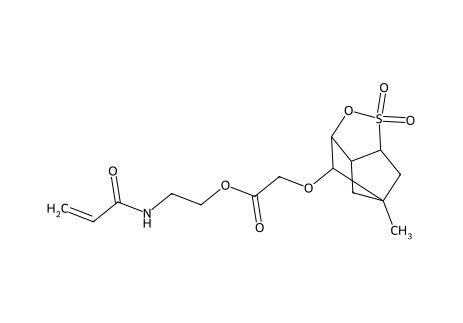 C=CC(=O)NCCOC(=O)COC1C2OS(=O)(=O)C3CC1(C)CC23